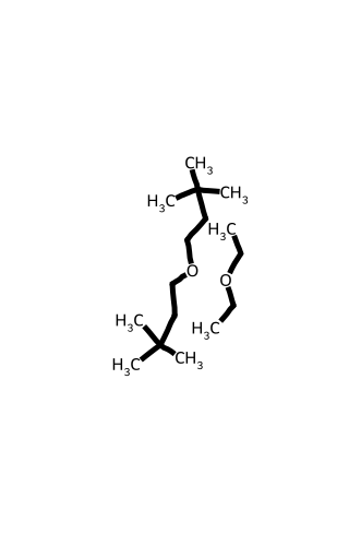 CC(C)(C)CCOCCC(C)(C)C.CCOCC